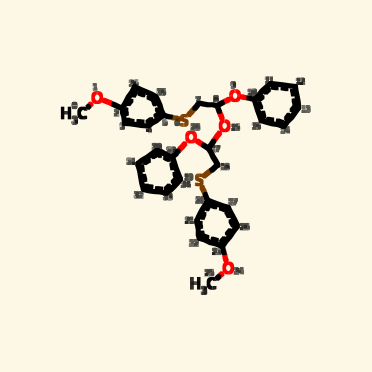 COc1ccc(SCC(Oc2ccccc2)OC(CSc2ccc(OC)cc2)Oc2ccccc2)cc1